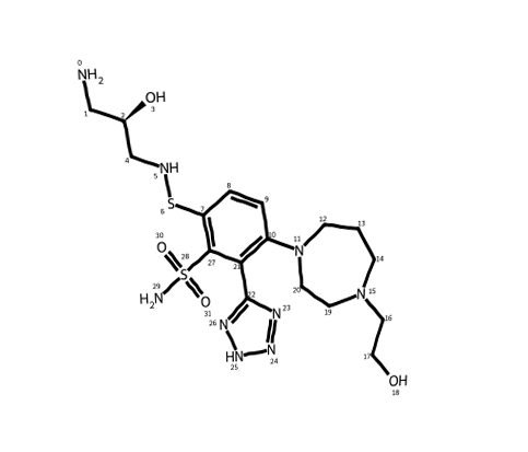 NC[C@@H](O)CNSc1ccc(N2CCCN(CCO)CC2)c(-c2nn[nH]n2)c1S(N)(=O)=O